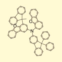 CC1(c2cc(N(c3ccc4c(c3)C(c3ccccc3)(c3ccccc3)c3ccccc3-4)c3cccc4c3oc3ccccc34)cc3c2oc2ccccc23)c2ccccc2-c2ccccc21